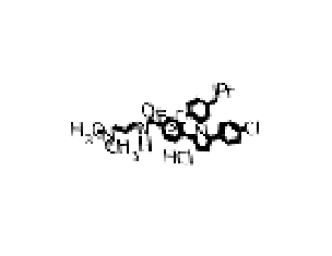 CC(C)Cc1ccc(C(F)(F)F)c(-n2c(-c3ccc(Cl)cc3)ccc2-c2ccc(C(=O)NCCCN(C)C)cc2)c1.Cl